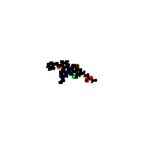 CCOC(=O)CSCc1cc(Cl)c(-c2nc(-c3ccnc(SC)n3)c(-c3cccc(OCc4ccccc4)c3)n2O)c(Cl)c1